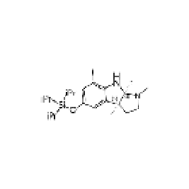 Cc1cc(O[Si](C(C)C)(C(C)C)C(C)C)cc2c1N[C@@]1(C)N(C)CC[C@@]21C